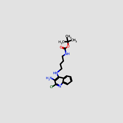 CC(C)(C)OC(=O)NCCCCNc1c(N)c(Cl)nc2ccccc12